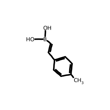 Cc1ccc(C=CB(O)O)cc1